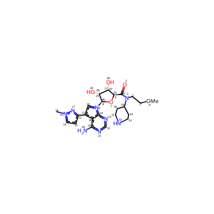 COCCN(C(=O)[C@H]1O[C@@H](n2cc(-c3ccn(C)n3)c3c(N)ncnc32)[C@H](O)[C@@H]1O)C1CCNCC1